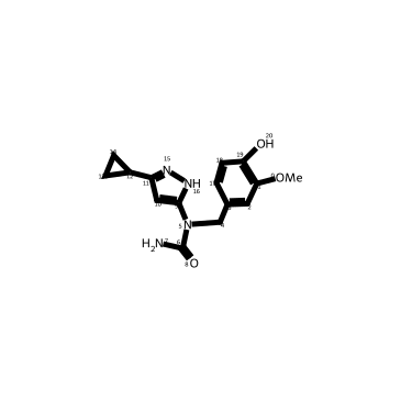 COc1cc(CN(C(N)=O)c2cc(C3CC3)n[nH]2)ccc1O